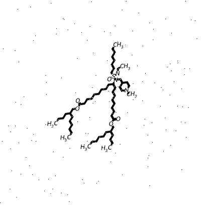 CCCCCCCCS(=O)(=NCC)N(CC1CCN(C)CC1)C(CCCCCCCCC(=O)OCC(CCCC)CCCCCC)CCCCCCCCC(=O)OCC(CCCC)CCCCCC